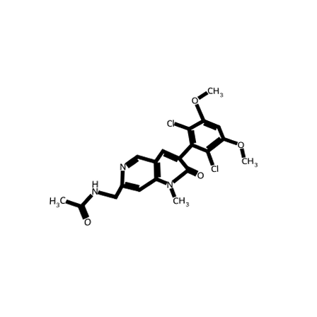 COc1cc(OC)c(Cl)c(-c2cc3cnc(CNC(C)=O)cc3n(C)c2=O)c1Cl